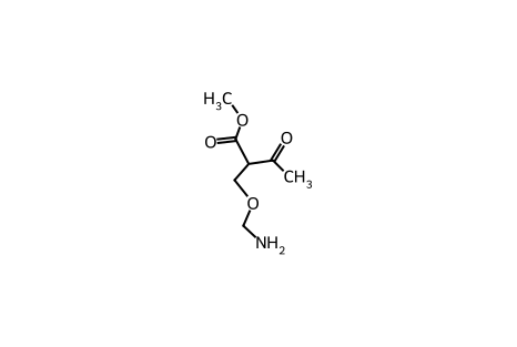 COC(=O)C(COCN)C(C)=O